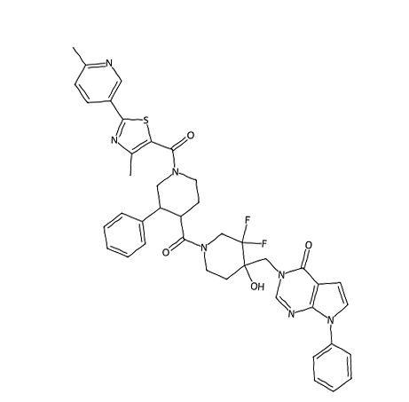 Cc1ccc(-c2nc(C)c(C(=O)N3CCC(C(=O)N4CCC(O)(Cn5cnc6c(ccn6-c6ccccc6)c5=O)C(F)(F)C4)C(c4ccccc4)C3)s2)cn1